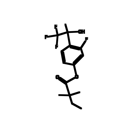 CCC(C)(C)C(=O)Oc1ccc(C(C)(O)C(F)(F)F)c(F)c1